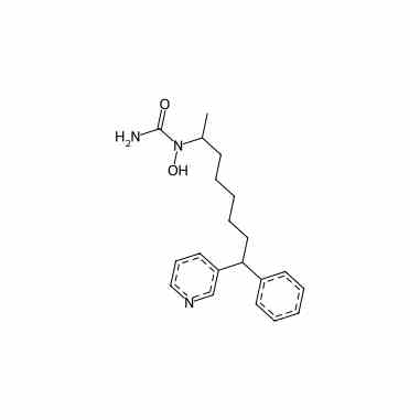 CC(CCCCCC(c1ccccc1)c1cccnc1)N(O)C(N)=O